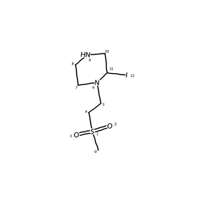 CS(=O)(=O)CCN1CCNCC1I